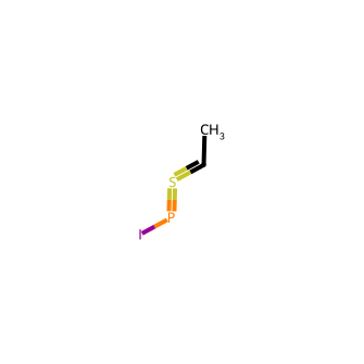 CC=S=PI